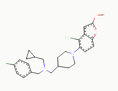 O=C(O)Oc1cc2c(Br)c(N3CCC(CN(Cc4ccc(Cl)cc4)CC4CC4)CC3)ccc2o1